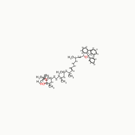 CC(C=CCOC(c1ccccc1)(c1ccccc1)c1ccccc1)CCCC=CC(C)CC(C)CC(C)CCCC(C)CC(C)[C@@H](O)O[Si](C)(C)C(C)(C)C